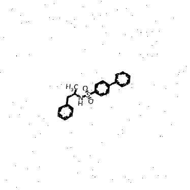 CC(Cc1ccccc1)NS(=O)(=O)c1ccc(-c2ccccc2)cc1